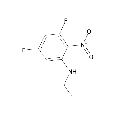 CCNc1cc(F)cc(F)c1[N+](=O)[O-]